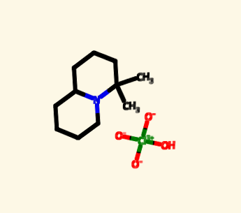 CC1(C)CCCC2CCCCN21.[O-][Cl+3]([O-])([O-])O